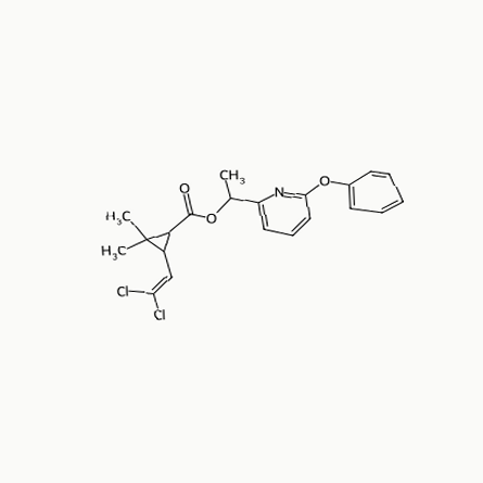 CC(OC(=O)C1C(C=C(Cl)Cl)C1(C)C)c1cccc(Oc2ccccc2)n1